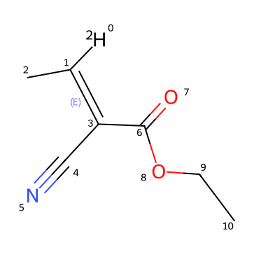 [2H]/C(C)=C(/C#N)C(=O)OCC